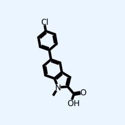 Cn1c(C(=O)O)cc2cc(-c3ccc(Cl)cc3)ccc21